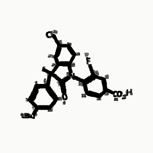 CC(C)(C)c1ccc(C2(C)C(=O)N(c3ccc(C(=O)O)cc3F)c3ccc(Cl)cc32)cc1